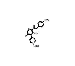 COc1ccc(CNc2ncc(F)c(C3=CCN(C=O)CC3)c2N)cc1